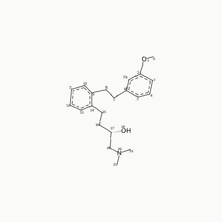 COc1cccc(CCc2ccccc2CC[C@H](O)CN(C)C)c1